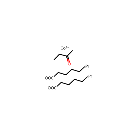 CC(C)CCCCC(=O)[O-].CC(C)CCCCC(=O)[O-].CCC(C)=O.[Co+2]